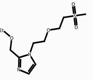 CCOCc1nccn1CCOCCS(C)(=O)=O